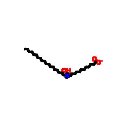 CCCCCCCCCCCCCCCCCC(O)C[N+](C)(C)CCCCCCCCCCCC(=O)[O-]